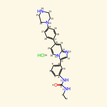 CCNC(=O)Nc1cccc(-c2cnc3cc(-c4ccc(N5CCNCC5)cc4)ccn23)c1.Cl